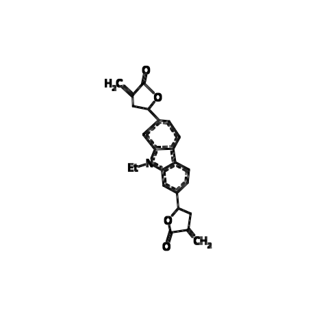 C=C1CC(c2ccc3c4ccc(C5CC(=C)C(=O)O5)cc4n(CC)c3c2)OC1=O